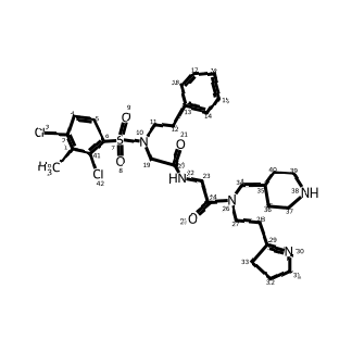 Cc1c(Cl)ccc(S(=O)(=O)N(CCc2ccccc2)CC(=O)NCC(=O)N(CCC2=NCCC2)CC2CCNCC2)c1Cl